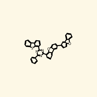 c1ccc(-c2nc(-c3cccc4c3oc3ccc(-c5ccc6oc7ccccc7c6c5)cc34)nc(-c3cccc4c3sc3ccccc34)n2)cc1